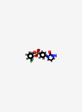 O=C1NCCCN1c1ccc(S(=O)(=O)Oc2cccc(F)c2)cc1